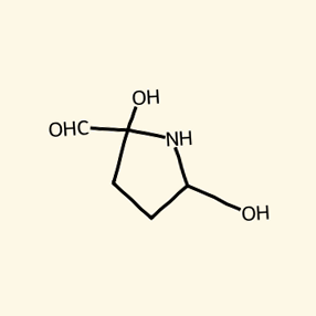 O=CC1(O)CCC(O)N1